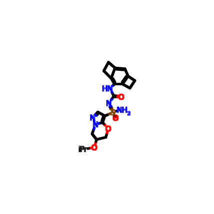 CC(C)OC1COc2c(S(N)(=O)=NC(=O)Nc3c4c(cc5c3CC5)CC4)cnn2C1